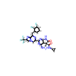 CC1(C(=O)NC2CC2)C(=O)Nc2nc(-c3cn4cc(C(F)(F)F)nc4c(Cc4cccc(F)c4F)n3)nc(N)c21